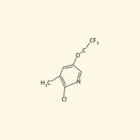 Cc1cc(OCC(F)(F)F)cnc1Cl